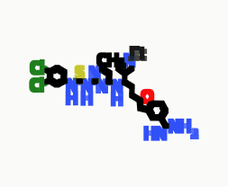 CCN1CCC(C(CCc2cc3cc(C(=N)N)ccc3o2)Nc2cc(C)nc(NC(=S)Nc3ccc(Cl)c(Cl)c3)n2)C1